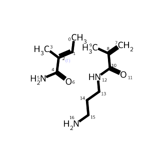 C/C=C(\C)C(N)=O.C=C(C)C(=O)NCCCN